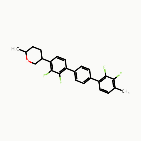 Cc1ccc(-c2ccc(-c3ccc(C4CCC(C)OC4)c(F)c3F)cc2)c(F)c1F